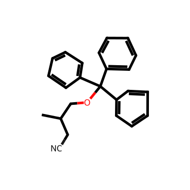 CC(CC#N)COC(c1ccccc1)(c1ccccc1)c1ccccc1